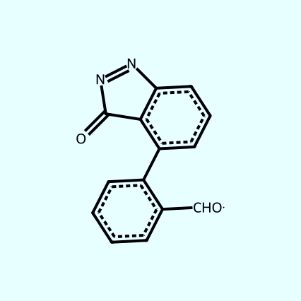 O=[C]c1ccccc1-c1cccc2c1C(=O)N=N2